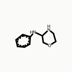 c1ccc(NC2COCCN2)cc1